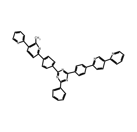 Cc1nc(-c2ccc(-c3nc(-c4ccccc4)nc(-c4ccc(-c5ccc(-c6ccccn6)cn5)cc4)n3)cc2)ccc1-c1ccccn1